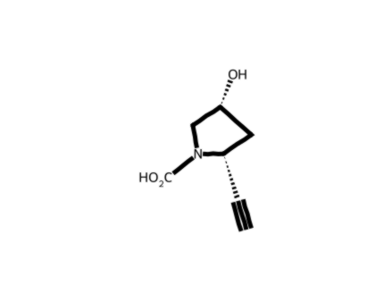 C#C[C@H]1C[C@@H](O)CN1C(=O)O